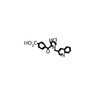 Cl.O=C(O)c1ccc(C(=O)c2cccn2Cc2cnc3ccccc3c2)cc1